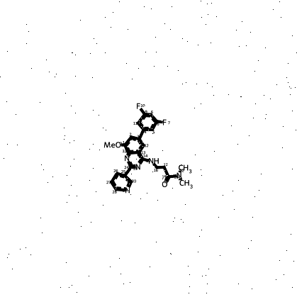 COc1cc(-c2cc(F)cc(F)c2)cc2c(NCCC(=O)N(C)C)nc(-c3cccnc3)nc12